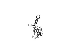 COc1cc(-c2[nH]nc(-c3nc(C)c(N4CC5(C4)CN(C4CCOCC4)C5)s3)c2C(C)C)cn2ncnc12